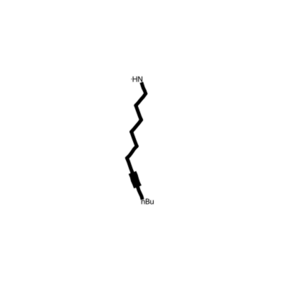 CCCCC#CCCCCCC[NH]